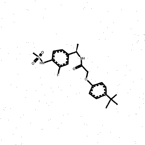 C[C@@H](NC(=O)COc1ccc(C(C)(C)C)cc1)c1ccc(NS(C)(=O)=O)c(F)c1